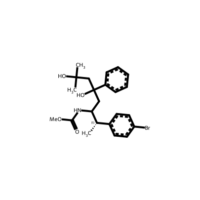 COC(=O)NC(CC(O)(CC(C)(C)O)c1ccccc1)[C@@H](C)c1ccc(Br)cc1